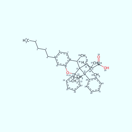 CCCCCc1ccc2c(c1)OC(C)(C)C(CCC(=O)O)([Si](c1ccccc1)(c1ccccc1)C(C)(C)C)C2C